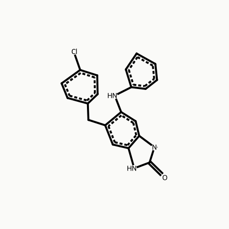 O=C1[N]c2cc(Nc3ccccc3)c(Cc3ccc(Cl)cc3)cc2N1